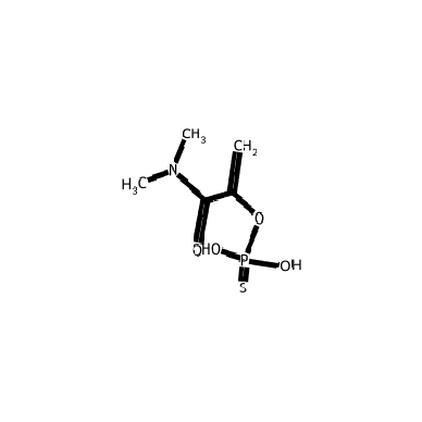 C=C(OP(O)(O)=S)C(=O)N(C)C